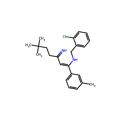 Cc1cccc(/C(=C/C(=N)CCC(C)(C)C)NCc2ccccc2Cl)c1